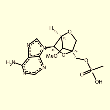 COC1[C@@H]2OC[C@@]1(COP(C)(=O)O)O[C@H]2n1cnc2c(N)ncnc21